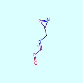 O=P/P=N/CP1N=P1